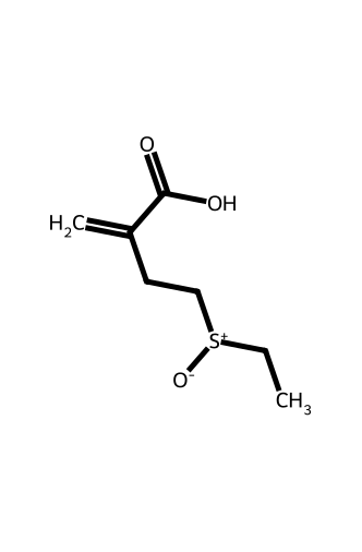 C=C(CC[S+]([O-])CC)C(=O)O